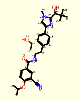 CC(C)Oc1ccc(C(=O)N[C@H](CCO)Cc2ccc(-c3cn(C)c(C(O)C(C)(C)C)n3)cc2)cc1C#N